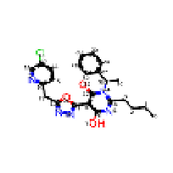 CCCCc1nc(O)c(-c2nnc(Cc3ccc(Cl)cn3)o2)c(=O)n1[C@H](C)c1ccccc1